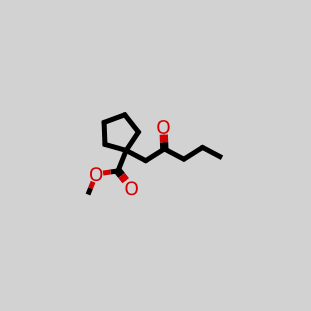 CCCC(=O)CC1(C(=O)OC)CCCC1